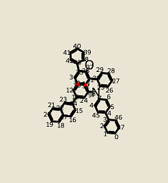 c1ccc(-c2ccc(N(c3cccc(-c4ccc5ccccc5c4)c3)c3ccccc3-c3cccc4c3oc3ccccc34)cc2)cc1